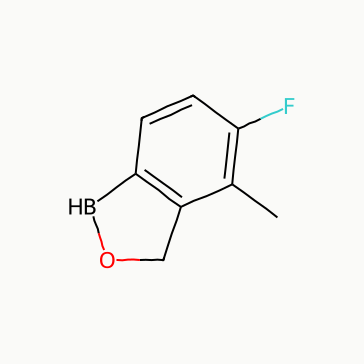 Cc1c(F)ccc2c1COB2